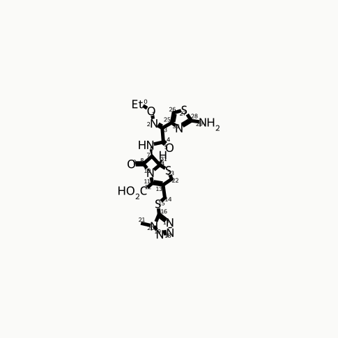 CCON=C(C(=O)N[C@@H]1C(=O)N2C(C(=O)O)=C(CSc3nnnn3C)CS[C@@H]12)c1csc(N)n1